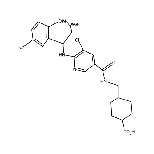 COCC(Nc1ncc(C(=O)NCC2CCC(C(=O)O)CC2)cc1Cl)c1cc(Cl)ccc1OC